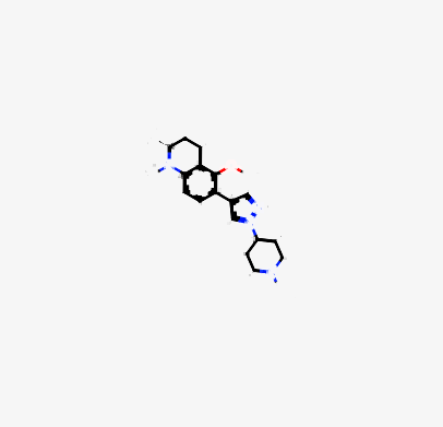 CCCOc1c(-c2cnn(C3CCN(C(=O)O)CC3)c2)ccc2c1CC[C@H](C)N2C(C)=O